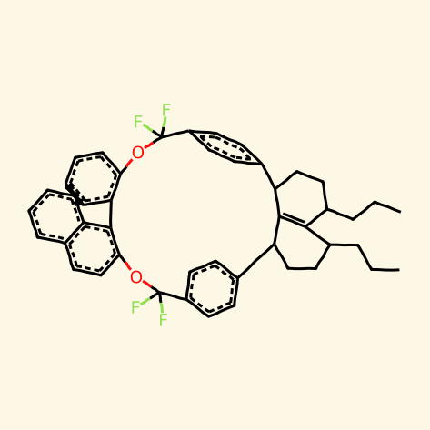 CCCC1CCC2C3=C1C(CCC)CCC3c1ccc(cc1)C(F)(F)Oc1ccc3ccccc3c1-c1c(ccc3ccccc13)OC(F)(F)c1ccc2cc1